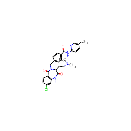 Cc1ccc(NC(=O)c2ccc(CN3C(=O)c4ccc(Cl)cc4NC(=O)C3CCN(C)C)cc2)nc1